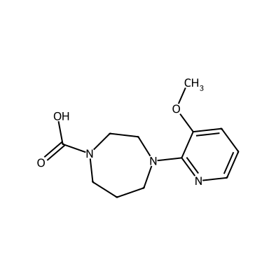 COc1cccnc1N1CCCN(C(=O)O)CC1